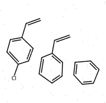 C=Cc1ccc(Cl)cc1.C=Cc1ccccc1.c1ccccc1